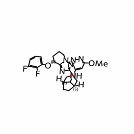 COc1cc(N2C[C@H]3CC[C@@H](C2)C3Nc2nc3n(n2)CCC[C@H]3Oc2cccc(F)c2F)cnn1